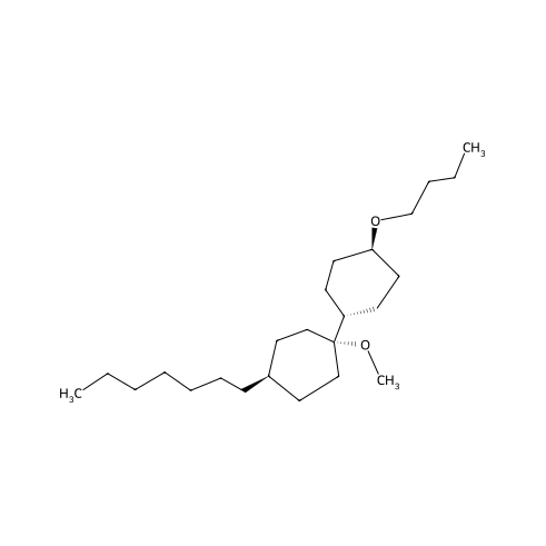 CCCCCCC[C@H]1CC[C@@](OC)([C@H]2CC[C@H](OCCCC)CC2)CC1